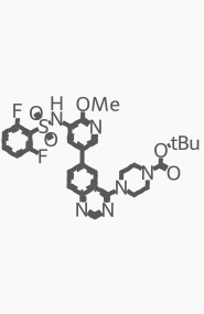 COc1ncc(-c2ccc3ncnc(N4CCN(C(=O)OC(C)(C)C)CC4)c3c2)cc1NS(=O)(=O)c1c(F)cccc1F